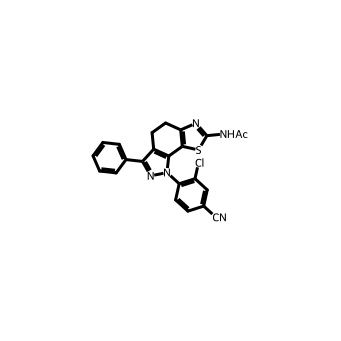 CC(=O)Nc1nc2c(s1)-c1c(c(-c3ccccc3)nn1-c1ccc(C#N)cc1Cl)CC2